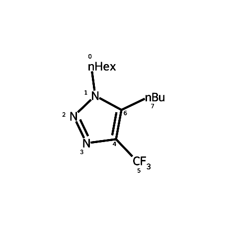 CCCCCCn1nnc(C(F)(F)F)c1CCCC